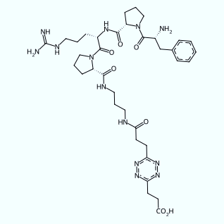 N=C(N)NCCC[C@H](NC(=O)[C@@H]1CCCN1C(=O)[C@H](N)Cc1ccccc1)C(=O)N1CCC[C@H]1C(=O)NCCCNC(=O)CCc1nnc(CCC(=O)O)nn1